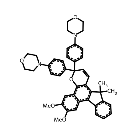 COc1cc2c3c(c4c(c2cc1OC)-c1ccccc1C4(C)C)C=CC(c1ccc(N2CCOCC2)cc1)(c1ccc(N2CCOCC2)cc1)O3